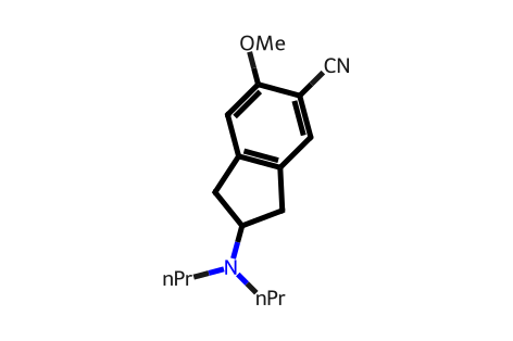 CCCN(CCC)C1Cc2cc(C#N)c(OC)cc2C1